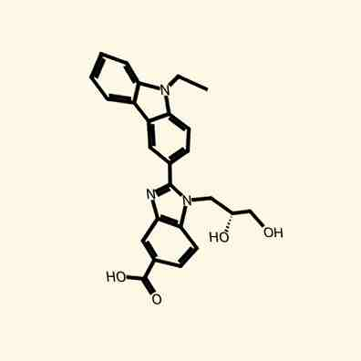 CCn1c2ccccc2c2cc(-c3nc4cc(C(=O)O)ccc4n3C[C@@H](O)CO)ccc21